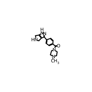 CN1CCN(C(=O)c2ccc(-c3n[nH]c4c3CNC4)cc2)CC1